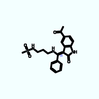 CC(=O)c1ccc2c(c1)/C(=C(\NCCCNS(C)(=O)=O)c1ccccc1)C(=O)N2